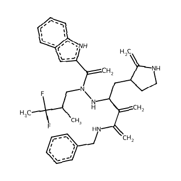 C=C(NCc1ccccc1)C(=C)C(CC1CCNC1=C)NN(CC(C)C(C)(F)F)C(=C)c1cc2ccccc2[nH]1